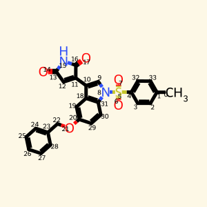 Cc1ccc(S(=O)(=O)n2cc(C3=CC(=O)NC3=O)c3cc(OCc4ccccc4)ccc32)cc1